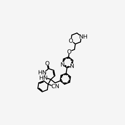 N#CC1(C2(Cc3cccc(-c4ncc(OCC5CNCCO5)cn4)c3)C=CC(=O)NN2)C=CC=CC1